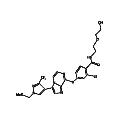 CCc1cc(Oc2nccn3c(-c4cn(COC)nc4C(F)(F)F)cnc23)ccc1C(=O)NCCOCCO